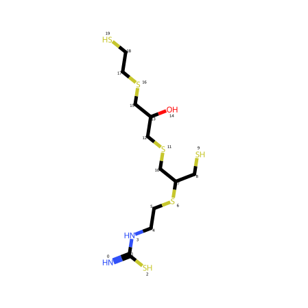 N=C(S)NCCSC(CS)CSCC(O)CSCCS